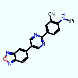 CC(C)Nc1ccc(-c2ncc(-c3ccc4nonc4c3)cn2)cc1C#N